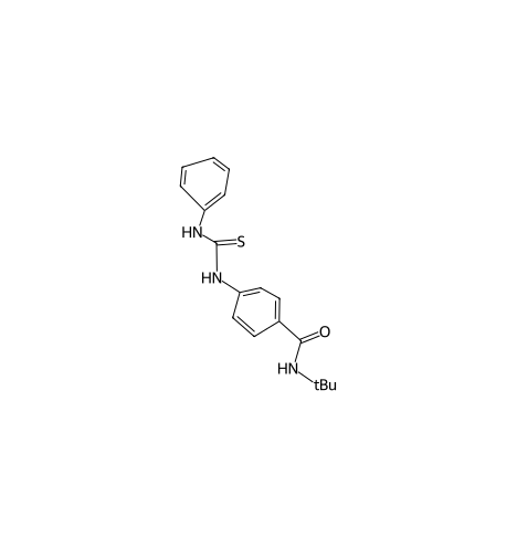 CC(C)(C)NC(=O)c1ccc(NC(=S)Nc2ccccc2)cc1